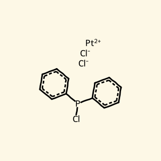 ClP(c1ccccc1)c1ccccc1.[Cl-].[Cl-].[Pt+2]